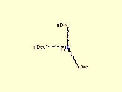 CCCCCCCCCCCCCCCCCCC[N+](CCCCCCCCCCCCCCCCCCC)(CCCCCCCCCCCCCCCCCCC)C(C)C